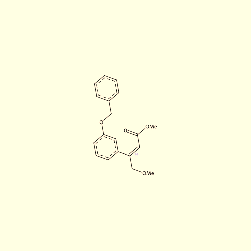 COC/C(=C/C(=O)OC)c1cccc(OCc2ccccc2)c1